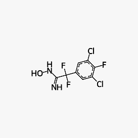 N=C(NO)C(F)(F)c1cc(Cl)c(F)c(Cl)c1